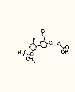 CC(C)Oc1ccc(F)c(-c2ccc(OC[C@@H]3C[C@H]3C(=O)O)c(CC=O)c2)c1